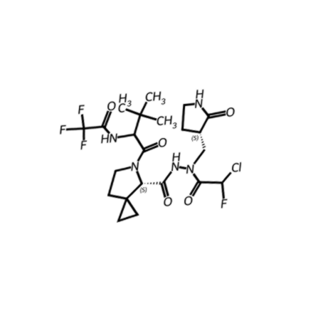 CC(C)(C)C(NC(=O)C(F)(F)F)C(=O)N1CCC2(CC2)[C@H]1C(=O)NN(C[C@@H]1CCNC1=O)C(=O)C(F)Cl